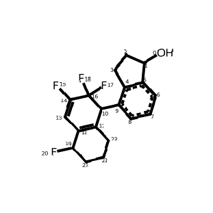 OC1CCc2c1cccc2C1C2=C(C=C(F)C1(F)F)C(F)CCC2